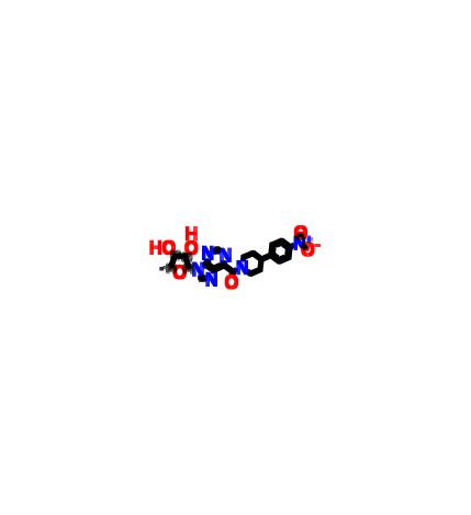 C[C@H]1O[C@@H](n2cnc3c(C(=O)N4CCC(c5ccc([N+](=O)[O-])cc5)CC4)ncnc32)[C@H](O)[C@@H]1O